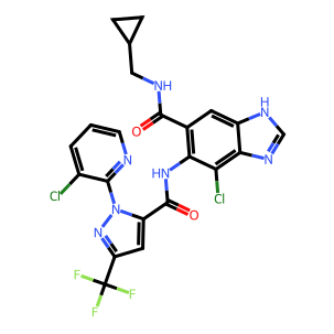 O=C(NCC1CC1)c1cc2[nH]cnc2c(Cl)c1NC(=O)c1cc(C(F)(F)F)nn1-c1ncccc1Cl